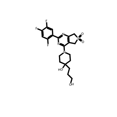 O=S1(=O)Cc2nc(-c3cc(F)c(F)cc3F)nc(N3CCC(O)(CCCO)CC3)c2C1